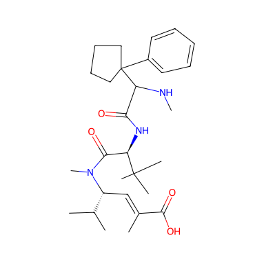 CNC(C(=O)N[C@H](C(=O)N(C)[C@H](C=C(C)C(=O)O)C(C)C)C(C)(C)C)C1(c2ccccc2)CCCC1